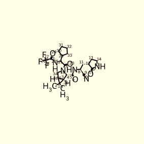 CC1(C)[C@@H]2[C@@H](C(=O)N[C@H](C#N)C[C@@H]3CCNC3=O)N(C(=O)[C@@H](NC(=O)C(F)(F)F)C3CCCC3)C[C@@H]21